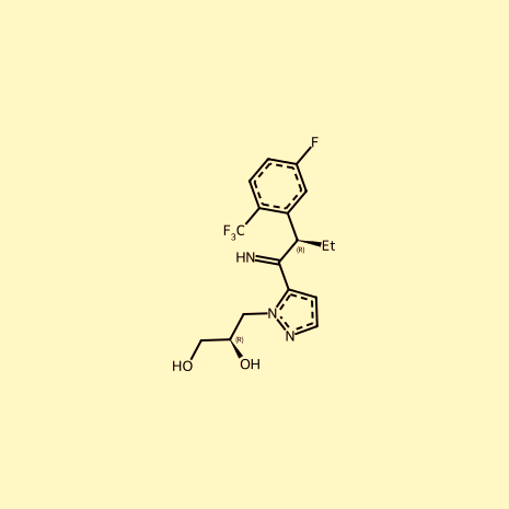 CC[C@@H](C(=N)c1ccnn1C[C@@H](O)CO)c1cc(F)ccc1C(F)(F)F